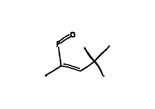 CC(=CC(C)(C)C)P=O